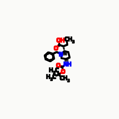 CCC(C(=O)O)[C@@H]1CC[C@H](NC(=O)OC(C)(C)C)CN1Cc1ccccc1